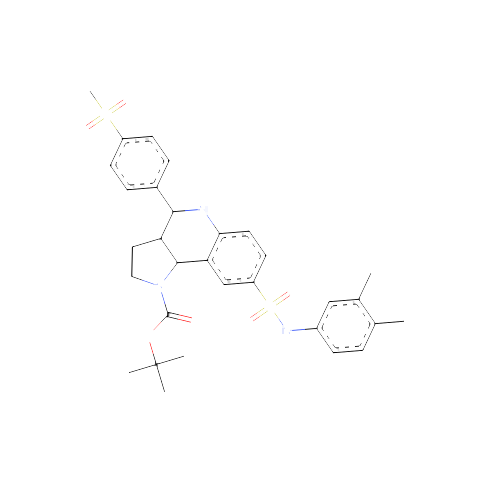 Cc1ccc(NS(=O)(=O)c2ccc3c(c2)C2C(CCN2C(=O)OC(C)(C)C)C(c2ccc(S(C)(=O)=O)cc2)N3)cc1C